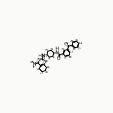 CN(C)c1nc(N[C@H]2CC[C@@H](NC(=O)c3cccc(C(=O)c4ccccc4)c3)CC2)nc2c1CCCC2